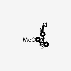 COc1ccc2c(c1)C1CSc3ccccc3C1N2Cc1ccc(OCCCl)cc1